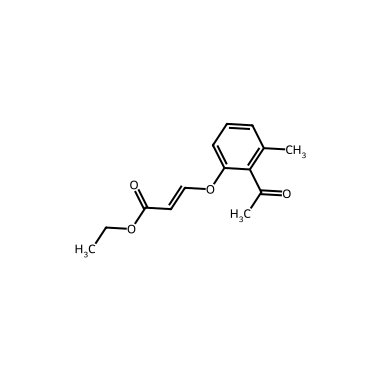 CCOC(=O)C=COc1cccc(C)c1C(C)=O